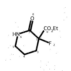 CCOC(=O)C1(F)CCCNC1=O